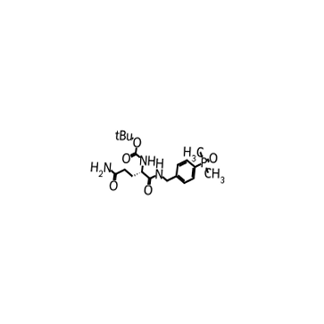 CC(C)(C)OC(=O)N[C@@H](CCC(N)=O)C(=O)NCc1ccc(P(C)(C)=O)cc1